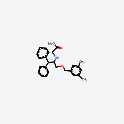 COC(=O)CNC(COCc1cc(C)cc(C)c1)C(c1ccccc1)c1ccccc1